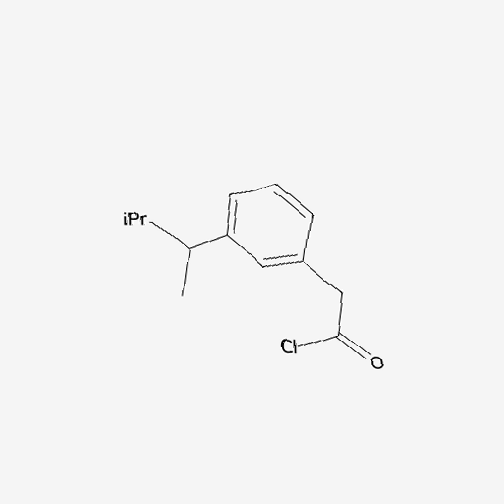 CC(C)C(C)c1cccc(CC(=O)Cl)c1